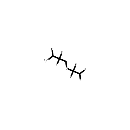 FC(C(F)(F)F)C(F)(F)COC(F)(F)C(F)F